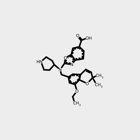 CCOc1cc(CN(c2nc3ccc(C(=O)O)cc3o2)C2CCNCC2)cc2c1OC(C)(C)C=C2